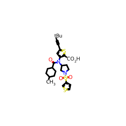 CC1CCC(C(=O)N(c2cc(C#CC(C)(C)C)sc2C(=O)O)C2CCN(S(=O)(=O)c3ccsc3)C2)CC1